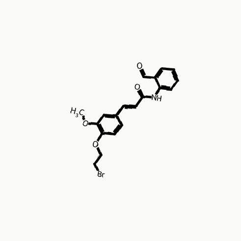 COc1cc(/C=C/C(=O)Nc2ccccc2C=O)ccc1OCCBr